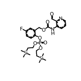 C[Si](C)(C)CCOP(=O)(OCC[Si](C)(C)C)Oc1ccc(F)cc1COC(=O)Nc1cccnc1C=O